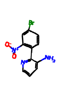 Nc1cccnc1-c1ccc(Br)cc1[N+](=O)[O-]